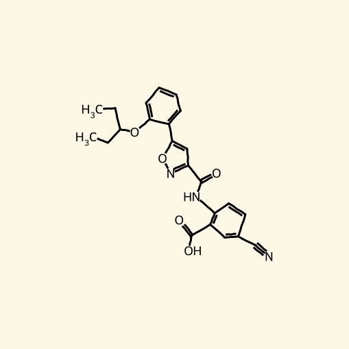 CCC(CC)Oc1ccccc1-c1cc(C(=O)Nc2ccc(C#N)cc2C(=O)O)no1